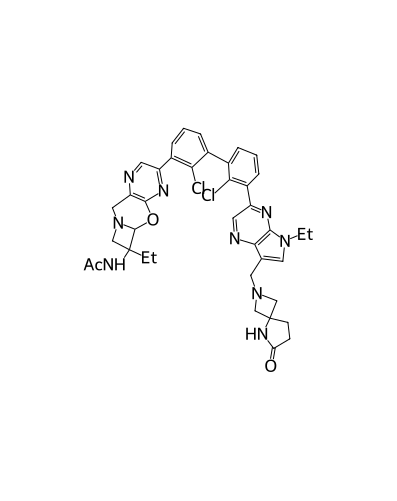 CCn1cc(CN2CC3(CCC(=O)N3)C2)c2ncc(-c3cccc(-c4cccc(-c5cnc6c(n5)OC5N(C6)CC5(CC)NC(C)=O)c4Cl)c3Cl)nc21